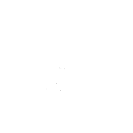 C=C(C)C(=O)ONCC(F)(F)F